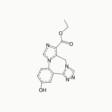 CCOC(=O)c1ncn2c1Cn1cnnc1-c1cc(O)ccc1-2